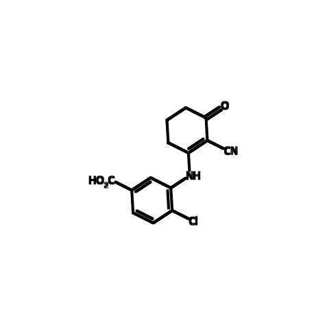 N#CC1=C(Nc2cc(C(=O)O)ccc2Cl)CCCC1=O